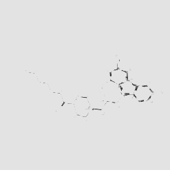 O=C(O)CCCCCCC(=O)N1CCN(C[C@@H](O)Cn2c3ccc(Br)cc3c3cc(Br)ccc32)CC1